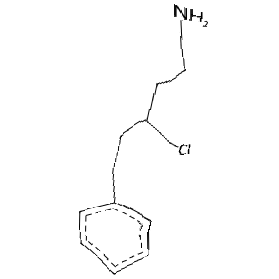 NCCC(Cl)Cc1ccccc1